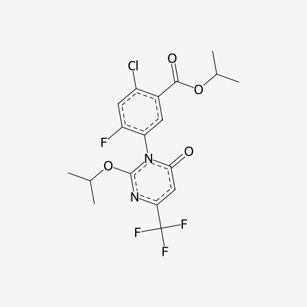 CC(C)OC(=O)c1cc(-n2c(OC(C)C)nc(C(F)(F)F)cc2=O)c(F)cc1Cl